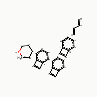 C1=Cc2ccccc21.C1=Cc2ccccc21.C1=Cc2ccccc21.C1CC[SiH2]OC1.C=CC=C